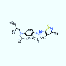 CCCCC(CC)CN(CC(CC)CCCC)c1ccc(/N=N/c2snc(CC)c2C#N)c(C)c1